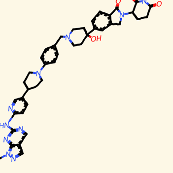 Cn1ncc2cnc(Nc3ccc(C4CCN(c5ccc(CN6CCC(O)(c7ccc8c(c7)CN(C7CCC(=O)NC7=O)C8=O)CC6)cc5)CC4)cn3)nc21